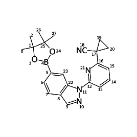 CC1(C)OB(c2ccc3cnn(-c4cccc(C5(C#N)CC5)n4)c3c2)OC1(C)C